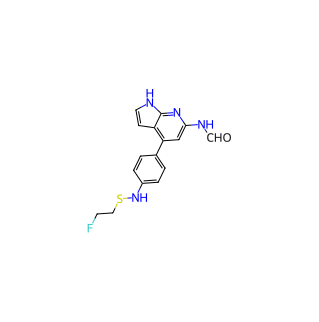 O=CNc1cc(-c2ccc(NSCCF)cc2)c2cc[nH]c2n1